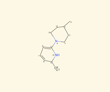 CC1CCN(C2=[C]C=CC(C(F)(F)F)N2)CC1